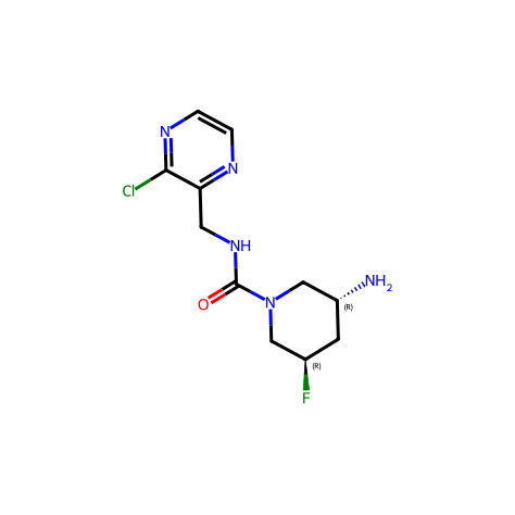 N[C@@H]1C[C@@H](F)CN(C(=O)NCc2nccnc2Cl)C1